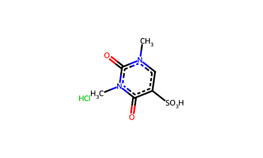 Cl.Cn1cc(S(=O)(=O)O)c(=O)n(C)c1=O